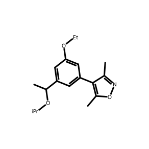 CCOc1cc(-c2c(C)noc2C)cc(C(C)OC(C)C)c1